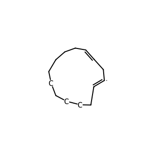 [C]1=C/CCCCCCCCC/C=C/C/1